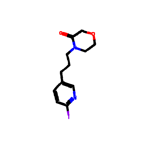 O=C1COCCN1CCCc1ccc(I)nc1